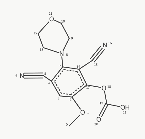 COc1cc(C#N)c(N2CCOCC2)c(C#N)c1OC(=O)O